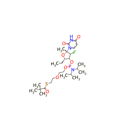 CC[C@H]1O[C@](C)(n2ccc(=O)[nH]c2=O)[C@@H](F)C1OP(OCCOCCSC(=O)C(C)(C)C)N(C(C)C)C(C)C